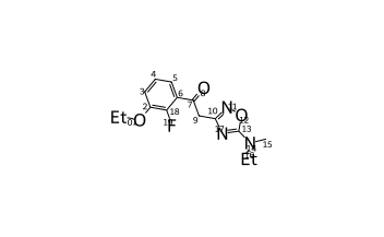 CCOc1cccc(C(=O)Cc2noc(N(C)CC)n2)c1F